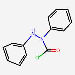 O=C(Cl)N(Nc1ccccc1)c1ccccc1